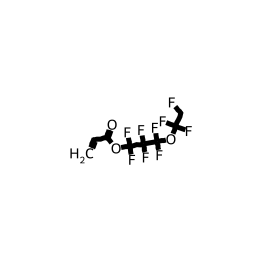 C=CC(=O)OC(F)(F)C(F)(F)C(F)(F)OC(F)(F)CF